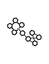 c1ccc2c(c1)-c1ccccc1C21c2ccccc2-c2ccc(-c3ccc(-n4c5ccccc5c5ccccc5c5ccccc5c5ccccc54)cc3)cc21